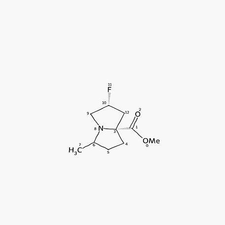 COC(=O)[C@]12CCC(C)N1C[C@H](F)C2